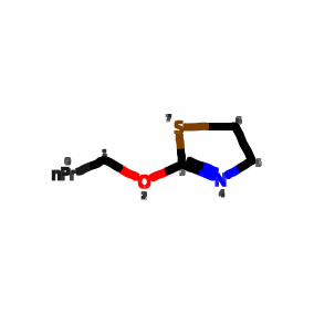 CCCCOC1=NCCS1